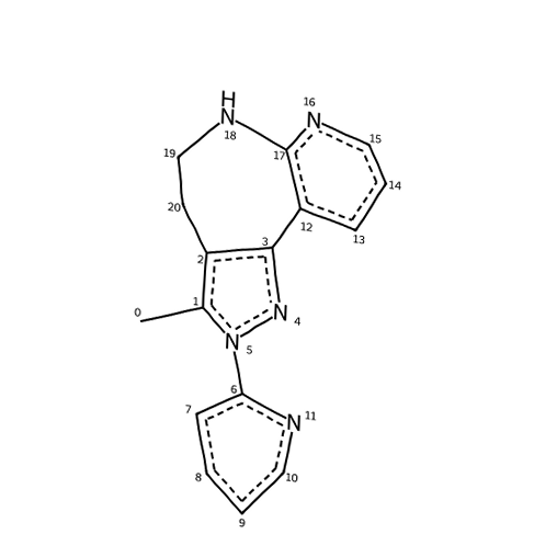 Cc1c2c(nn1-c1ccccn1)-c1cccnc1NCC2